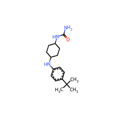 CC(C)(C)c1ccc(NC2CCC(NC(N)=O)CC2)cc1